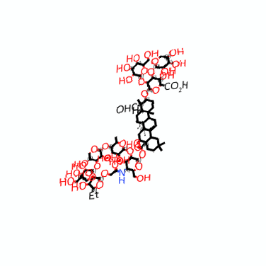 CC[C@@H]1O[C@@H](OCC(=O)N[C@H]2C(CO)O[C@@H](OC(=O)[C@]34CCC(C)(C)CC3C3=CCC5C6(C)CC[C@H](O[C@@H]7OC(C(=O)O)[C@@H](O)[C@H](O[C@@H]8OC[C@@H](O)[C@H](O)C8O)C7O[C@@H]7OC(CO)[C@H](O)[C@H](O)C7O)[C@](C)(C=O)[C@@H]6CC[C@]5(C)[C@]3(C)CC4O)C(O[C@@H]3OC(C)[C@H](O[C@@H]4OC[C@@H](O)C(O[C@@H]5OC[C@@](O)(CO)C5O)C4O)C(O)C3O)C2O)C(O)C1O